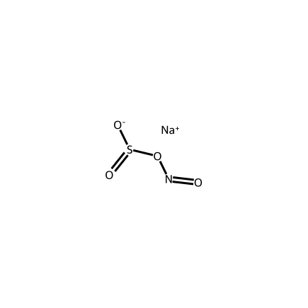 O=NOS(=O)[O-].[Na+]